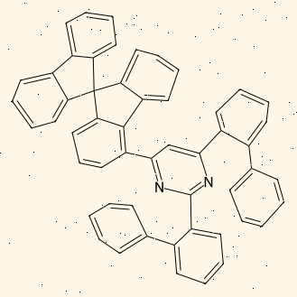 c1ccc(-c2ccccc2-c2cc(-c3cccc4c3-c3ccccc3C43c4ccccc4-c4ccccc43)nc(-c3ccccc3-c3ccccc3)n2)cc1